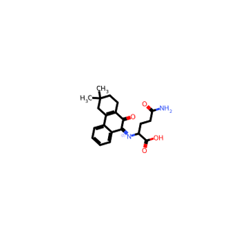 CC1(C)CCC2=C(C1)c1ccccc1/C(=N/C(CCC(N)=O)C(=O)O)C2=O